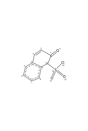 O=C1C=Cc2ccccc2C1S(=O)(=O)Cl